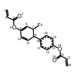 C=CC(=O)OC1=CC(F)C(c2ccc(OC(=O)C=C)cc2)C=C1